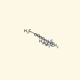 CCCCCCCOCCOCCOCCOC/C=C(C)/C=C/C=C(C)/C=C/C1=C(C)CCCC1(C)C